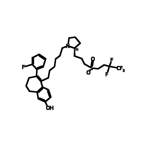 O=S(=O)(CCC[C@@H]1CCCN1CCCCCCC1=C(c2ccccc2F)CCCc2cc(O)ccc21)CCC(F)(F)C(F)(F)F